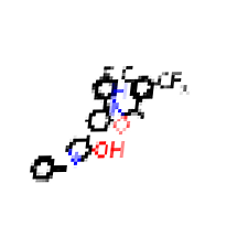 CC(C(=O)N[C@]1(c2ccccc2)CC[C@@H](C2CCN(Cc3ccccc3)CC2O)CC1)c1cc(C(F)(F)F)cc(C(F)(F)F)c1